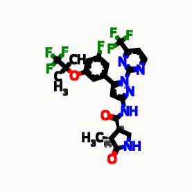 C[C@H]1C(=O)NC[C@@H]1C(=O)Nc1cc(-c2cc(F)cc(OC(C)(C)C(F)(F)F)c2)n(-c2nccc(C(F)(F)F)n2)n1